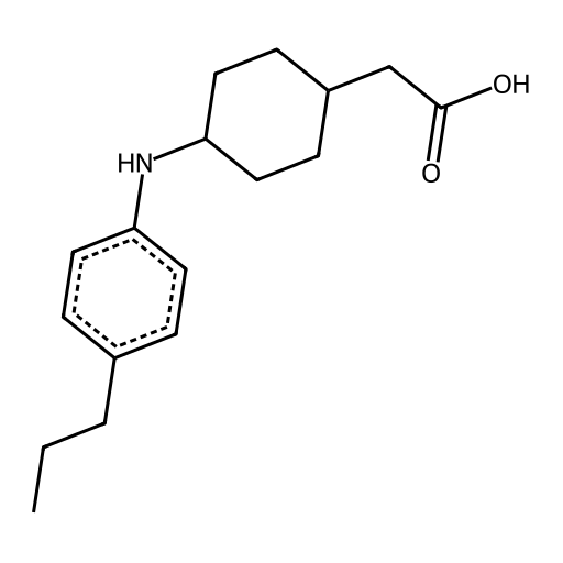 CCCc1ccc(NC2CCC(CC(=O)O)CC2)cc1